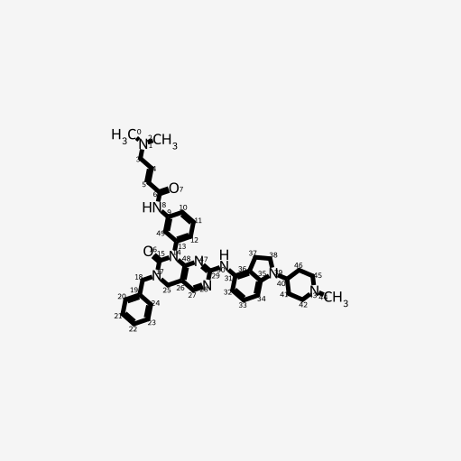 CN(C)C/C=C/C(=O)Nc1cccc(N2C(=O)N(Cc3ccccc3)Cc3cnc(Nc4cccc5c4CCN5C4CCN(C)CC4)nc32)c1